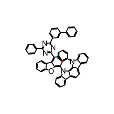 c1ccc(-c2cccc(-c3nc(-c4ccccc4)nc(-c4ccc(-n5c6ccccc6c6ccc7c8ccccc8n(-c8ccccc8)c7c65)c5oc6ccccc6c45)n3)c2)cc1